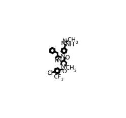 Cc1nnc(-c2ccc(-n3c(=O)c4c(n5ncc(Cc6ccccc6)c35)CN(C(=O)c3ccc(Cl)c(C(F)(F)F)c3)[C@H](C)C4)cc2)[nH]1